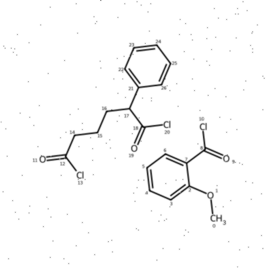 COc1ccccc1C(=O)Cl.O=C(Cl)CCCC(C(=O)Cl)c1ccccc1